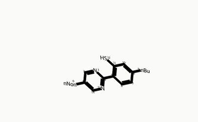 CCCCCCCCCc1cnc(-c2ccc(CCCC)cc2S)nc1